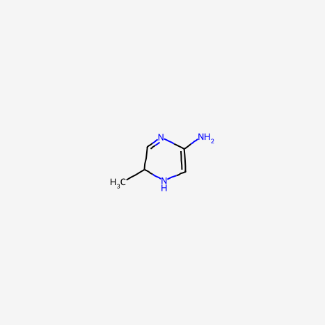 CC1C=NC(N)=CN1